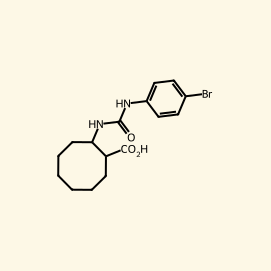 O=C(Nc1ccc(Br)cc1)NC1CCCCCCC1C(=O)O